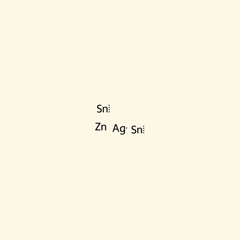 [Ag].[Sn].[Sn].[Zn]